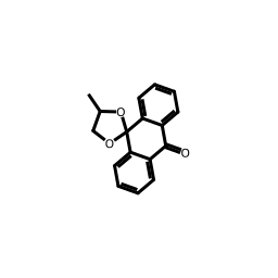 CC1COC2(O1)c1ccccc1C(=O)c1ccccc12